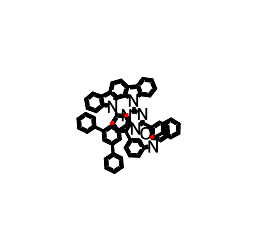 c1ccc(-c2cc(-c3ccccc3)cc(-c3nc(-c4ccccc4)nc(-n4c5ccccc5c5ccc6c7ccccc7n(-c7ccc(-c8cccc9nc(-c%10ccccc%10)oc89)cc7)c6c54)n3)c2)cc1